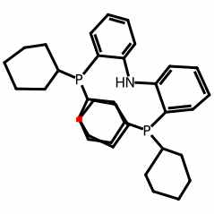 c1ccc(P(C2CCCCC2)C2CCCCC2)c(Nc2ccccc2P(C2CCCCC2)C2CCCCC2)c1